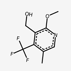 COc1ncc(C)c(C(F)(F)F)c1CO